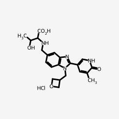 Cc1cc(-c2nc3cc(CNC(C(=O)O)C(C)O)ccc3n2CC2COC2)c[nH]c1=O.Cl